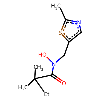 CCC(C)(C)C(=O)N(O)Cc1cnc(C)s1